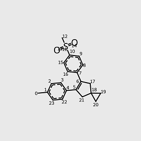 Cc1ccc(C2=C(c3ccc(S(C)(=O)=O)cc3)CC3(CC3)C2)cc1